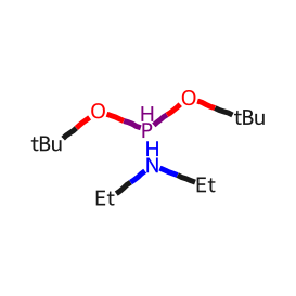 CC(C)(C)OPOC(C)(C)C.CCNCC